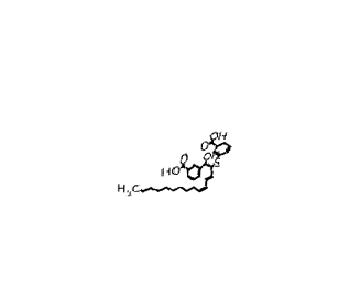 CCCCCCCCC/C=C\C=C\C(Sc1cccc(C(=O)O)c1)C(O)c1cccc(C(=O)O)c1